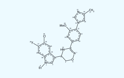 CCn1cc(C2CON=C(c3ccc(-n4cnc(C)c4)c(OC)n3)N2)c2cc(Cl)c(F)cc21